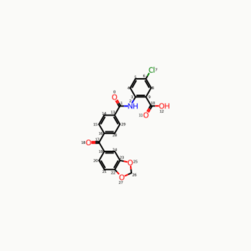 O=C(Nc1ccc(Cl)cc1C(=O)O)c1ccc(C(=O)c2ccc3c(c2)OCO3)cc1